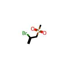 C=C(Br)CS(C)(=O)=O